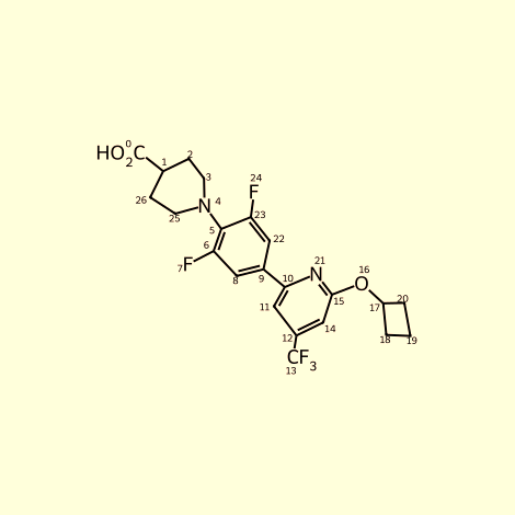 O=C(O)C1CCN(c2c(F)cc(-c3cc(C(F)(F)F)cc(OC4CCC4)n3)cc2F)CC1